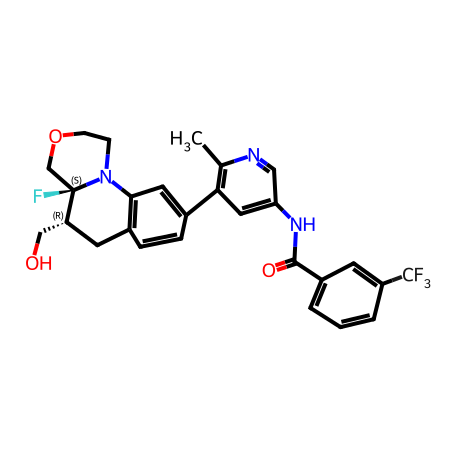 Cc1ncc(NC(=O)c2cccc(C(F)(F)F)c2)cc1-c1ccc2c(c1)N1CCOC[C@@]1(F)[C@@H](CO)C2